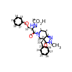 CN1N=C2CCN(C(=O)[C@@H](COc3ccccc3)NC(=O)O)C[C@@]2(Cc2ccccc2)C1=O